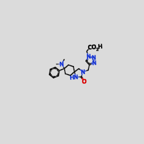 CN(C)C1(c2ccccc2)CCC2(CC1)CN(Cc1cn(CC(=O)O)nn1)C(=O)N2